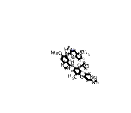 COc1cc2ncnc(Nc3cc(C)c(Oc4ccn5ncnc5c4)cc3OC3COC3)c2cc1NC(=O)/C(F)=C\C1CCCN1C